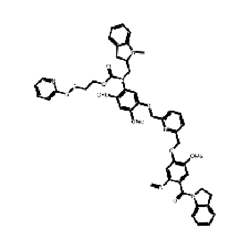 C=Nc1cc(OCc2cccc(COc3cc(N(CC4Cc5ccccc5N4C)C(=O)OCCSSc4ccccn4)c(C=O)cc3OC)n2)c(OC)cc1C(=O)N1CCc2ccccc21